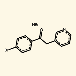 Br.O=C(Cc1cccnc1)c1ccc(Br)cc1